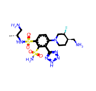 C[C@H](CN)NS(=O)(=O)c1ccc(N2CC[C@H](CN)[C@H](F)C2)c(-c2nn[nH]n2)c1S(N)(=O)=O